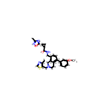 Cc1noc([C@@H]2CC2C(=O)NCc2ccc(-c3cccc(OC(F)(F)F)c3)c3c2CN(Cc2scnc2C)CC3)n1